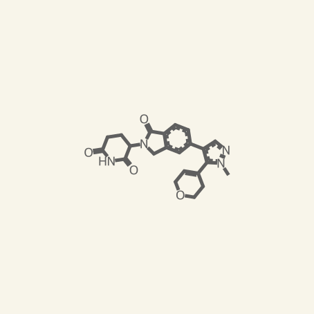 Cn1ncc(-c2ccc3c(c2)CN(C2CCC(=O)NC2=O)C3=O)c1C1=CCOCC1